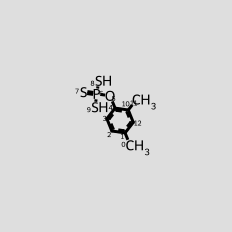 Cc1ccc(OP(=S)(S)S)c(C)c1